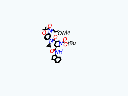 COCCCN1C(=O)C(C)(C)Oc2ccc(N(C(=O)[C@@H]3C[C@H](C(=O)N[C@@H]4CCc5ccccc54)CN(C(=O)OC(C)(C)C)C3)C3CC3)cc21